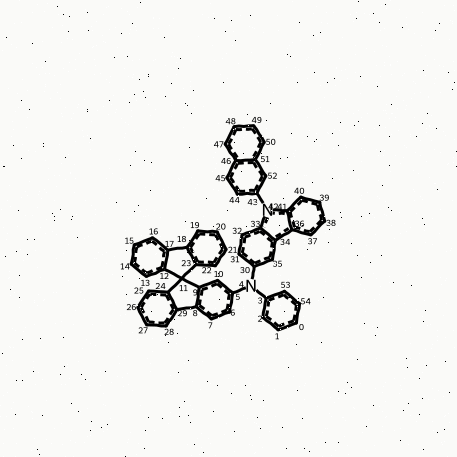 c1ccc(N(c2ccc3c(c2)C2(c4ccccc4-c4ccccc42)c2ccccc2-3)c2ccc3c(c2)c2ccccc2n3-c2ccc3ccccc3c2)cc1